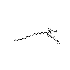 CCCCCCCCCCCCCCCCCCC(OCCOCCOC)C(=O)O